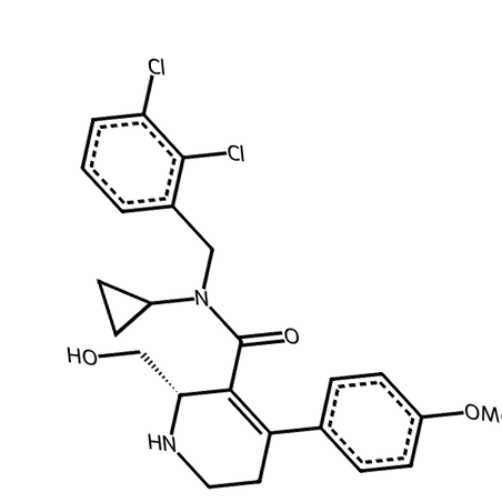 COc1ccc(C2=C(C(=O)N(Cc3cccc(Cl)c3Cl)C3CC3)[C@@H](CO)NCC2)cc1